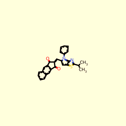 CC(C)c1nc2c(cc(C=C3C(=O)c4cc5ccccc5cc4C3=O)n2-c2ccccc2)s1